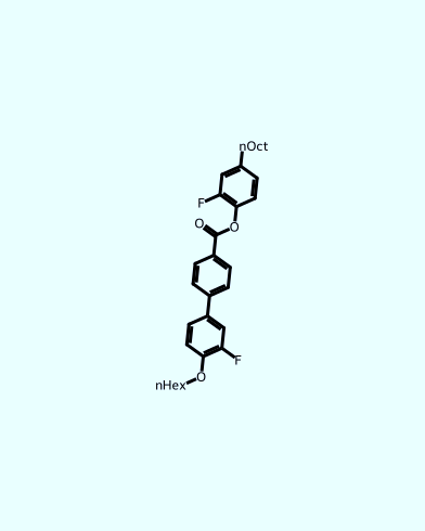 CCCCCCCCc1ccc(OC(=O)c2ccc(-c3ccc(OCCCCCC)c(F)c3)cc2)c(F)c1